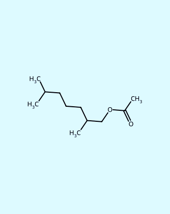 CC(=O)OCC(C)CCCC(C)C